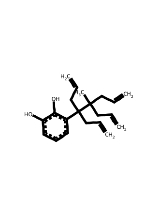 C=CCC(C)(CC=C)C(CC=C)(CC=C)c1cccc(O)c1O